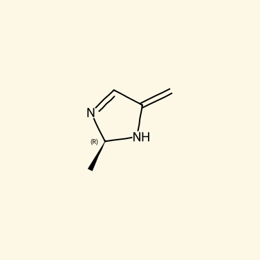 C=C1C=N[C@H](C)N1